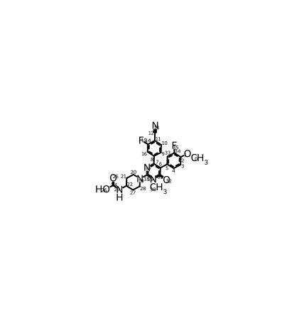 COc1ccc(-c2c(-c3ccc(C#N)c(F)c3)nc(N3CCC(NC(=O)O)CC3)n(C)c2=O)cc1F